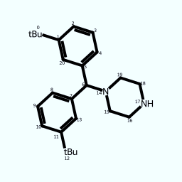 CC(C)(C)c1cccc(C(c2cccc(C(C)(C)C)c2)N2CCNCC2)c1